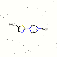 CCOC(=O)c1cnc(N2CCN(C(=O)O)CC2)s1